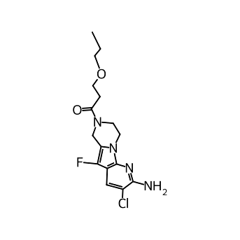 CCCOCCC(=O)N1CCn2c(c(F)c3cc(Cl)c(N)nc32)C1